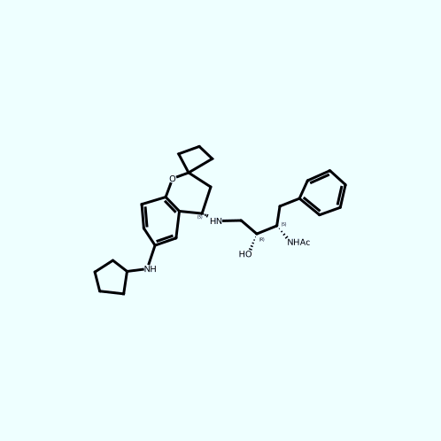 CC(=O)N[C@@H](Cc1ccccc1)[C@H](O)CN[C@H]1CC2(CCC2)Oc2ccc(NC3CCCC3)cc21